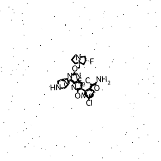 COc1nc2c(N3C4CCC3CNC4)nc(OC[C@@]34CCCN3C[C@H](F)C4)nc2cc1-c1cc(Cl)cc2oc(N)c(C(F)(F)F)c12